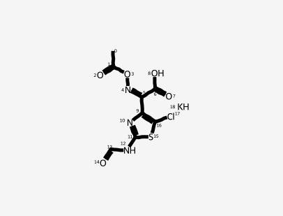 CC(=O)ON=C(C(=O)O)c1nc(NC=O)sc1Cl.[KH]